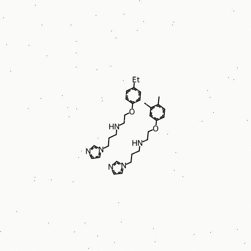 CCc1ccc(OCCNCCCn2ccnc2)cc1.Cc1ccc(OCCNCCCn2ccnc2)cc1C